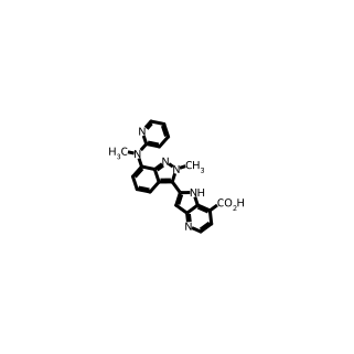 CN(c1ccccn1)c1cccc2c(-c3cc4nccc(C(=O)O)c4[nH]3)n(C)nc12